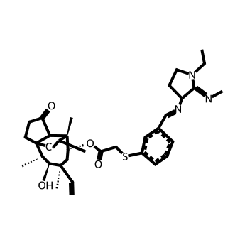 C=C[C@]1(C)C[C@@H](OC(=O)CSc2cccc(/C=N/C3CCN(CC)/C3=N\C)c2)[C@]2(C)C(C)CCC3(CCC(=O)C32)[C@@H](C)[C@@H]1O